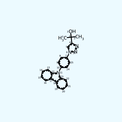 CC(C)(O)c1cn(-c2ccc(-n3c4ccccc4c4ccccc43)cc2)nn1